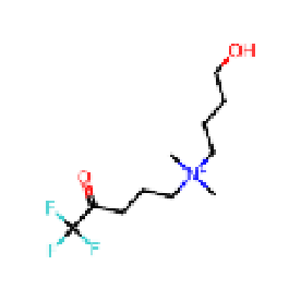 C[N+](C)(CCCCO)CCCC(=O)C(F)(F)F